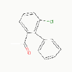 CC(=O)c1cccc(Cl)c1-c1ccccc1